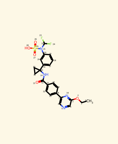 CCOc1cncc(-c2ccc(C(=O)NC3(c4cccc(N(C(F)F)S(=O)(=O)O)c4)CC3)cc2)n1